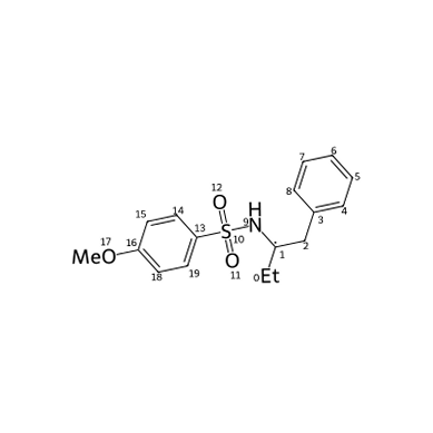 CC[C](Cc1ccccc1)NS(=O)(=O)c1ccc(OC)cc1